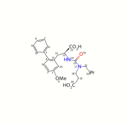 COc1ccc(-c2ccccc2)c(C[C@H](NC(=O)N(CCC(=O)O)CC(C)C)C(=O)O)c1